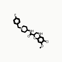 COc1cc2c(cc1Cl)NCC(C(=O)NC1CCN(Cc3ccc(F)cc3)CC1)O2